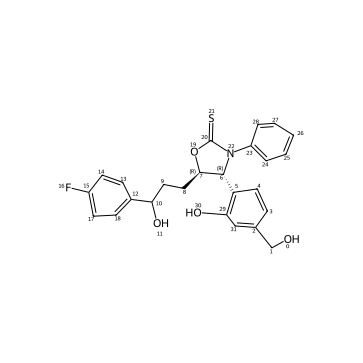 OCc1ccc([C@@H]2[C@@H](CCC(O)c3ccc(F)cc3)OC(=S)N2c2ccccc2)c(O)c1